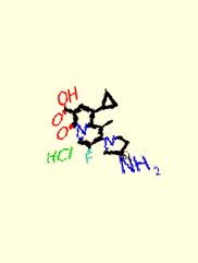 Cc1c(N2CC[C@H](N)C2)c(F)cn2c(=O)c(C(=O)O)cc(C3CC3)c12.Cl